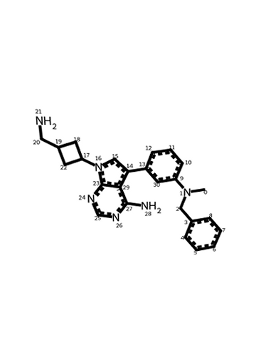 CN(Cc1ccccc1)c1cccc(-c2cn(C3CC(CN)C3)c3ncnc(N)c23)c1